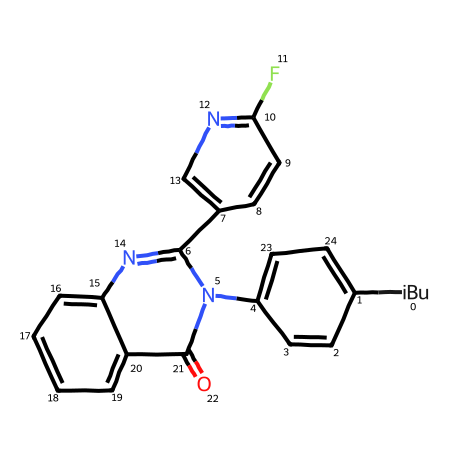 CCC(C)c1ccc(-n2c(-c3ccc(F)nc3)nc3ccccc3c2=O)cc1